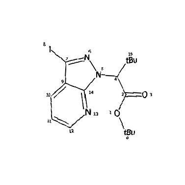 CC(C)(C)OC(=O)C(n1nc(I)c2cccnc21)C(C)(C)C